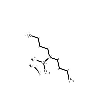 CCCCN(CCCC)[Si](C)C.[Li][CH3]